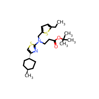 CCc1ccc(CN(CCC(=O)OC(C)(C)C)c2nc([C@H]3CC[C@H](C)CC3)cs2)s1